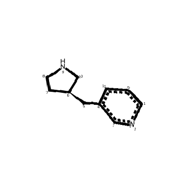 c1cncc(C[C@H]2CCNC2)c1